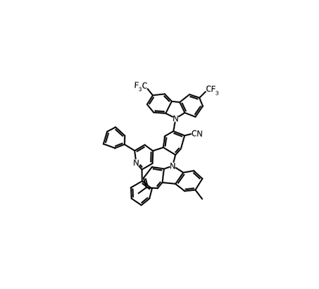 Cc1ccc2c(c1)c1cc(C)ccc1n2-c1cc(C#N)c(-n2c3ccc(C(F)(F)F)cc3c3cc(C(F)(F)F)ccc32)cc1-c1cc(-c2ccccc2)nc(-c2ccccc2)c1